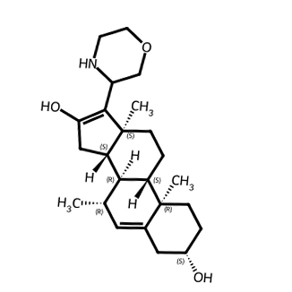 C[C@H]1C=C2C[C@@H](O)CC[C@]2(C)[C@H]2CC[C@]3(C)C(C4COCCN4)=C(O)C[C@H]3[C@H]12